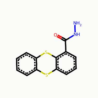 NNC(=O)c1cccc2c1Sc1ccccc1S2